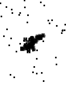 CC(=O)c1nn(CC(=O)N2C[C@H](F)C[C@H]2C(=O)Nc2cncc(Br)n2)c2ccc(-c3ccc4cc(C5CC5)nn4c3)cc12